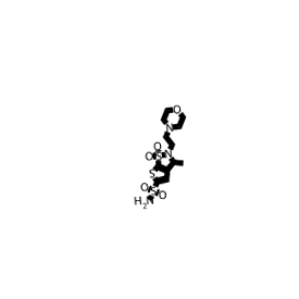 CC1c2cc(S(N)(=O)=O)sc2S(=O)(=O)N1CCN1CCOCC1